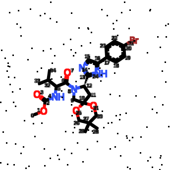 COC(=O)NC(C(=O)N1CC2(C[C@H]1c1ncc(-c3ccc(Br)cc3)[nH]1)OCC(C)(C)CO2)C(C)C